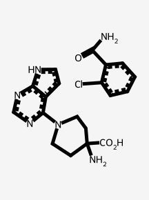 NC(=O)c1ccccc1Cl.NC1(C(=O)O)CCN(c2ncnc3[nH]ccc23)CC1